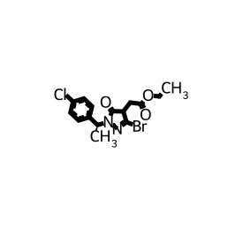 CCOC(=O)CC1C(=O)N([C@H](C)c2ccc(Cl)cc2)N=C1Br